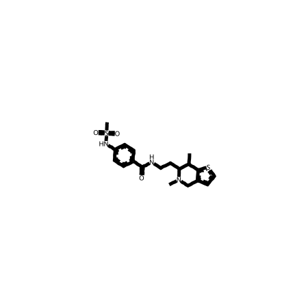 CC1c2sccc2CN(C)C1CCNC(=O)c1ccc(NS(C)(=O)=O)cc1